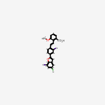 CCCOc1cccc(C(=O)O)c1C=Cc1ccc(-c2cc3cc(F)cc(I)c3o2)cc1I